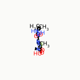 Cc1ccc(Nc2cc(=O)n(CCCCN3CCN(c4cc5c(cc4F)c(=O)c(C(=O)O)cn5C4CC4)[C@@H](C)C3)c(=O)[nH]2)cc1C